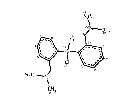 CN(C)Cc1ccccc1S(Cl)(Cl)c1ccccc1CN(C)C